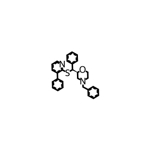 c1ccc(CN2CCO[C@H](C(Sc3ncccc3-c3ccccc3)c3ccccc3)C2)cc1